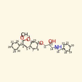 COC(=O)C(=Cc1ccc(OCC(O)CNCc2ccccc2)cc1)c1ccccc1